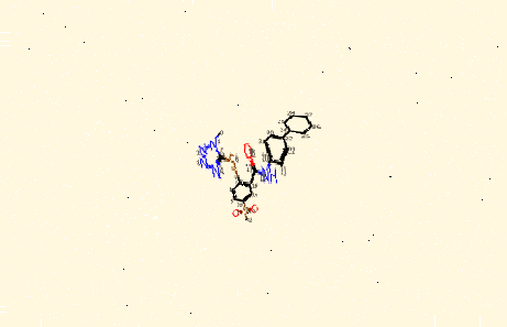 Cn1nnnc1Sc1ccc(S(C)(=O)=O)cc1C(=O)Nc1ccc(C2CCCCC2)cc1